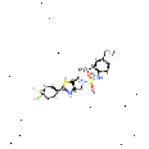 COc1cc(C(=O)O)ccc1NS(=O)(=O)N1Cc2nc(C3=CCC(F)(F)CC3)sc2C1